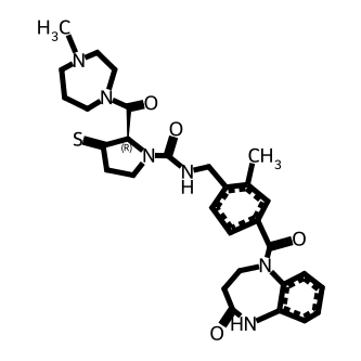 Cc1cc(C(=O)N2CCC(=O)Nc3ccccc32)ccc1CNC(=O)N1CCC(=S)[C@H]1C(=O)N1CCCN(C)CC1